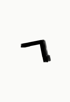 [O-2].[O-2].[O-2].[O-2].[O-2].[O-2].[O-2].[O-2].[O-2].[O-2].[O-2].[O-2].[O-2].[O-2].[O-2].[O-2].[O-2].[O-2].[O-2].[O-2].[O-2].[O-2].[O-2].[O-2].[O-2].[O-2].[O-2].[O-2].[O-2].[O-2].[O-2].[O-2].[O-2].[O-2].[O-2].[O-2].[O-2].[O-2].[O-2].[O-2].[O-2].[O-2].[O-2].[O-2].[O-2].[Zn+2].[Zn+2].[Zn+2].[Zn+2].[Zn+2].[Zn+2].[Zn+2].[Zn+2].[Zn+2].[Zn+2].[Zn+2].[Zn+2].[Zn+2].[Zn+2].[Zn+2]